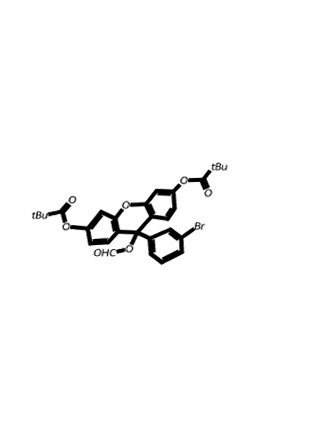 CC(C)(C)C(=O)Oc1ccc2c(c1)Oc1cc(OC(=O)C(C)(C)C)ccc1C2(OC=O)c1cccc(Br)c1